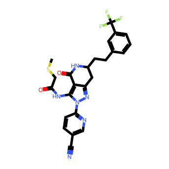 CSCC(=O)Nc1c2c(nn1-c1ccc(C#N)cn1)CC(CCc1cccc(C(F)(F)F)c1)NC2=O